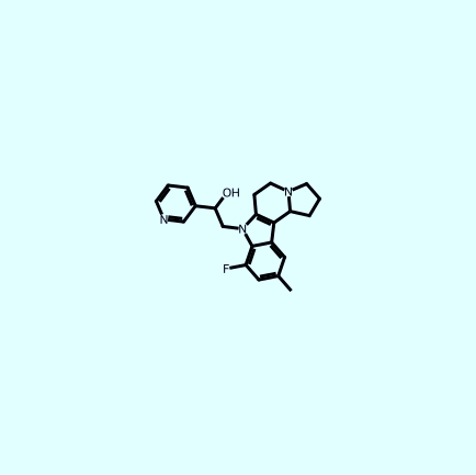 Cc1cc(F)c2c(c1)c1c(n2CC(O)c2cccnc2)CCN2CCCC12